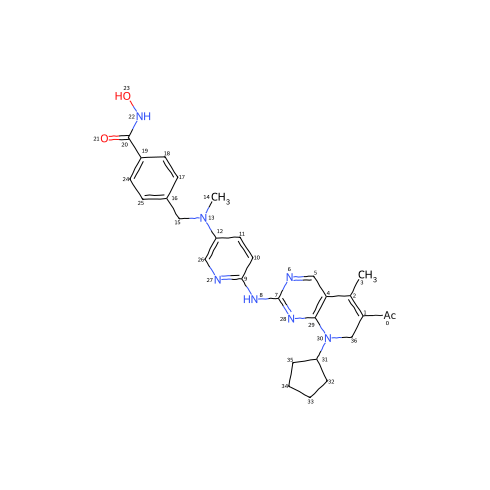 CC(=O)C1=C(C)c2cnc(Nc3ccc(N(C)Cc4ccc(C(=O)NO)cc4)cn3)nc2N(C2CCCC2)C1